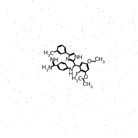 CCOc1cc(OC(C)C)c(F)c(C(Nc2ccc(C(=N)N)cc2)c2nc(-c3cccc(C)c3)c[nH]2)c1